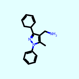 Cc1c(CN)c(C2C=CC=CC2)nn1-c1ccccc1